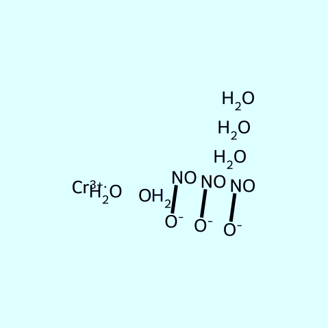 O.O.O.O.O.O=N[O-].O=N[O-].O=N[O-].[Cr+3]